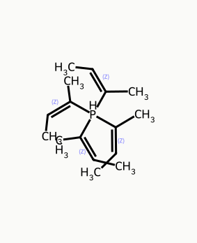 C/C=C(/C)[PH](/C(C)=C\C)(/C(C)=C\C)/C(C)=C\C